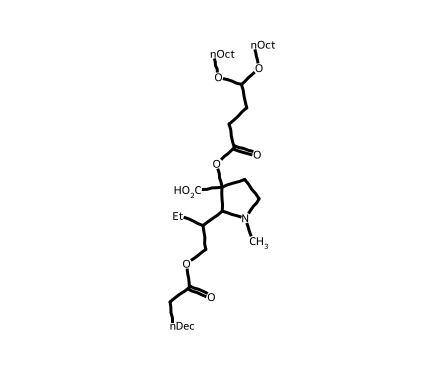 CCCCCCCCCCCC(=O)OCC(CC)C1N(C)CCC1(OC(=O)CCC(OCCCCCCCC)OCCCCCCCC)C(=O)O